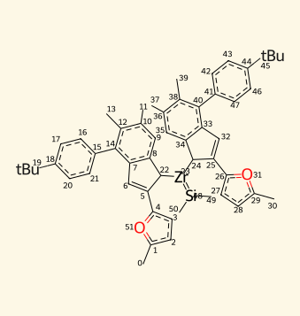 Cc1ccc(C2=Cc3c(cc(C)c(C)c3-c3ccc(C(C)(C)C)cc3)[CH]2[Zr]([CH]2C(c3ccc(C)o3)=Cc3c2cc(C)c(C)c3-c2ccc(C(C)(C)C)cc2)=[Si](C)C)o1